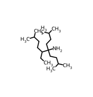 CCC(CCC(C)C)C(N)(CCC(C)C)CCC(C)C